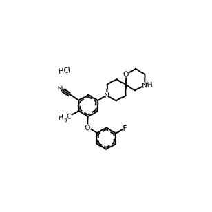 Cc1c(C#N)cc(N2CCC3(CC2)CNCCO3)cc1Oc1cccc(F)c1.Cl